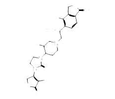 CC1=C(N2CCN(C3CCN(C[C@H](O)c4ccc5c(c4C)COC5=O)CC3F)C2=O)COC1=O